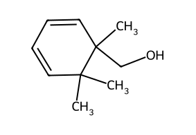 CC1(C)C=CC=CC1(C)CO